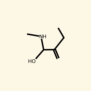 C=C(CC)C(O)NC